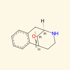 C[C@@]12OCCC[C@@]13CCN[C@@H]2Cc1ccccc13